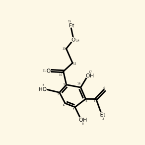 C=C(CC)c1c(O)cc(O)c(C(=O)CCOCC)c1O